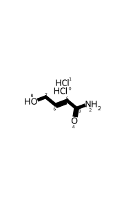 Cl.Cl.NC(=O)C=CCO